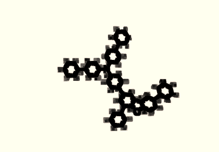 c1ccc(-c2ccc(N(c3ccc(-c4ccccc4)cc3)c3ccc(-c4cc(-c5ccccc5)c5oc6ccc(-c7ccccc7)cc6c5c4)cc3)cc2)cc1